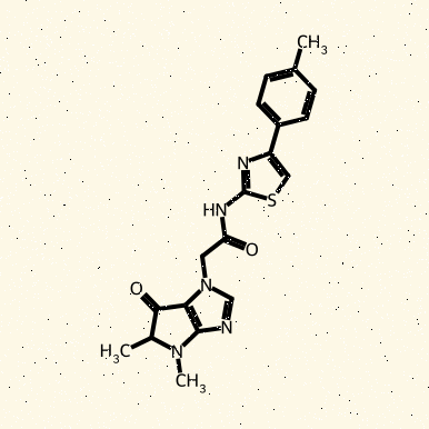 Cc1ccc(-c2csc(NC(=O)Cn3cnc4c3C(=O)C(C)N4C)n2)cc1